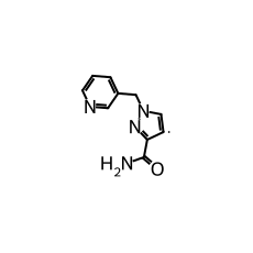 NC(=O)c1[c]cn(Cc2cccnc2)n1